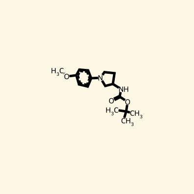 COc1ccc(N2CCC(NC(=O)OC(C)(C)C)C2)cc1